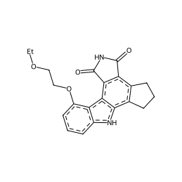 CCOCCOc1cccc2[nH]c3c4c(c5c(c3c12)C(=O)NC5=O)CCC4